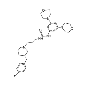 O=C(NCCCN1CCC[C@@H](Cc2ccc(F)cc2)C1)Nc1cc(N2CCOCC2)cc(N2CCOCC2)c1